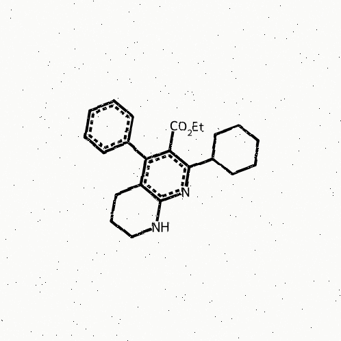 CCOC(=O)c1c(C2CCCCC2)nc2c(c1-c1ccccc1)CCCN2